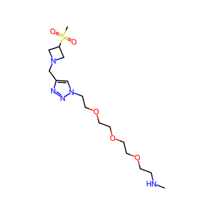 CNCCOCCOCCOCCn1cc(CN2CC(S(C)(=O)=O)C2)nn1